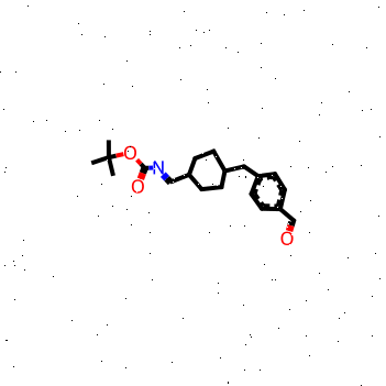 CC(C)(C)OC(=O)/N=C/C1CCC(Cc2ccc(C=O)cc2)CC1